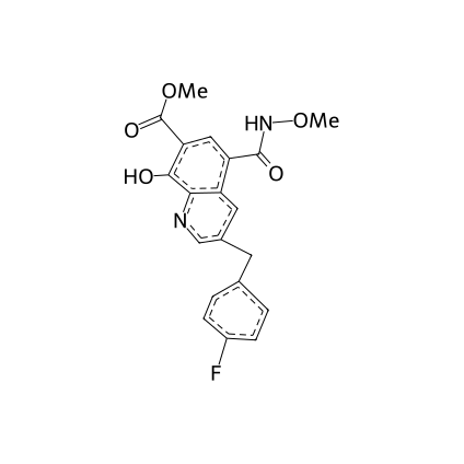 CONC(=O)c1cc(C(=O)OC)c(O)c2ncc(Cc3ccc(F)cc3)cc12